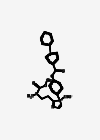 CN(CCC1=NC=C[N+]1(C(=O)[O-])c1ccc(OC(=O)c2ccc(-c3ccccc3)cc2)cc1)C(=O)OC(C)(C)C